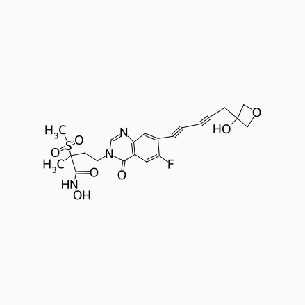 CC(CCn1cnc2cc(C#CC#CCC3(O)COC3)c(F)cc2c1=O)(C(=O)NO)S(C)(=O)=O